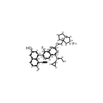 C#Cc1c(F)ccc2cc(O)cc(-c3ncc4c(N(CC)C5CC5)nc(OC[C@@]56CCCN5C[C@H](F)C6)nc4c3F)c12